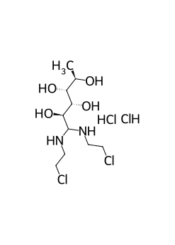 C[C@@H](O)[C@@H](O)[C@H](O)[C@H](O)C(NCCCl)NCCCl.Cl.Cl